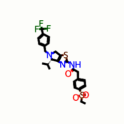 CCS(=O)(=O)c1ccc(CC(=O)Nc2nc3c(s2)CN(Cc2ccc(C(F)(F)F)cc2)[C@H]3C(C)C)cc1